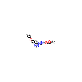 CC(=O)C1CC(COCCN2CCN(c3nc(C)nc4c3CCc3cc(OCc5ccc(C)cc5)ccc3-4)CC2)O1